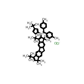 Cc1ccc([C](c2ccc(C)cc2)=[Zr+2]([C]2=CC(C(C)(C)C)=CC2)[C]2=C(C(C)(C)C)c3cc4c(cc3C2(C)C)Cc2cc3c(cc2-4)C(C(C)(C)C)=CC3(C)C)cc1.[Cl-].[Cl-]